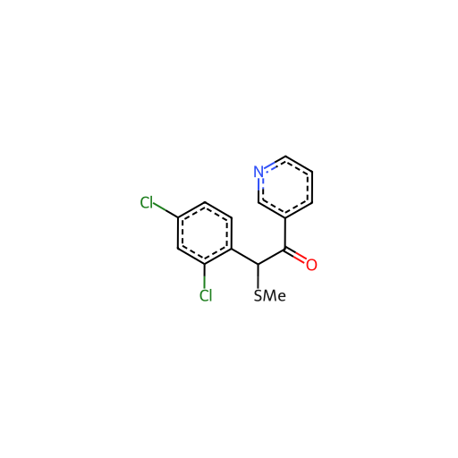 CSC(C(=O)c1cccnc1)c1ccc(Cl)cc1Cl